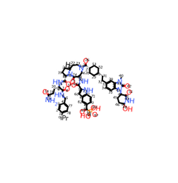 CC(C)c1ccc(CNC(=O)[C@H](CCC(N)=O)NC(=O)[C@@H]2CC[C@@H]3CCN(C(=O)[C@H]4CC[C@@H](CCc5ccc6c(c5)n(C)c(=O)n6C5CCC(O)NC5=O)CC4)C[C@H](NC(=O)c4cc5cc(C(=O)P(=O)(O)O)ccc5[nH]4)C(=O)N32)cc1